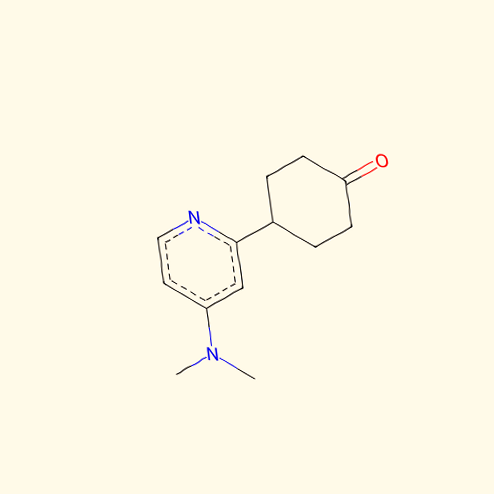 CN(C)c1ccnc(C2CCC(=O)CC2)c1